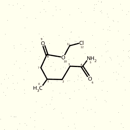 CC(CCC(N)=O)CC(=O)OCCl